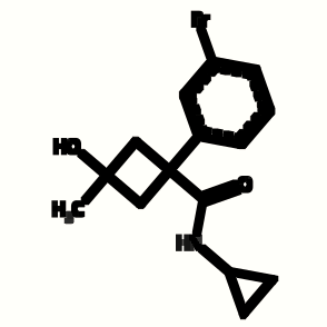 CC1(O)CC(C(=O)NC2CC2)(c2cccc(Br)c2)C1